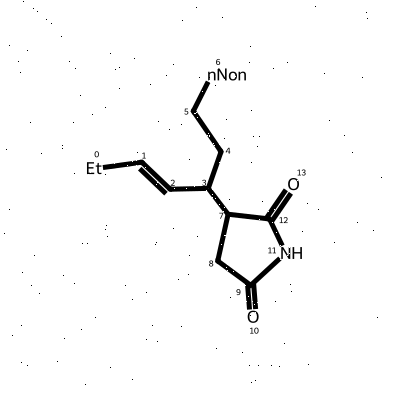 CC/C=C/C(CCCCCCCCCCC)C1CC(=O)NC1=O